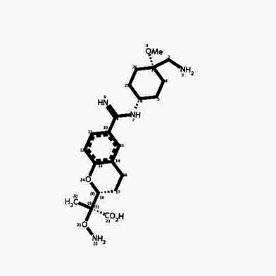 CO[C@]1(CN)CC[C@H](NC(=N)c2ccc3c(c2)CC[C@H]([C@](C)(ON)C(=O)O)O3)CC1